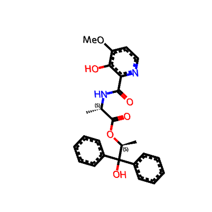 COc1ccnc(C(=O)N[C@@H](C)C(=O)O[C@@H](C)C(O)(c2ccccc2)c2ccccc2)c1O